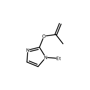 C=C(C)Oc1nccn1CC